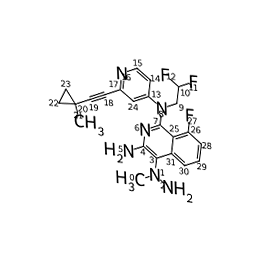 CN(N)c1c(N)nc(N(CC(F)F)c2ccnc(C#CC3(C)CC3)c2)c2c(F)cccc12